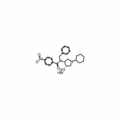 Br.O=C(c1ccc([N+](=O)[O-])cc1)N(Cc1ccccc1)[C@H]1CN(C2CCCCC2)C[C@@H]1O